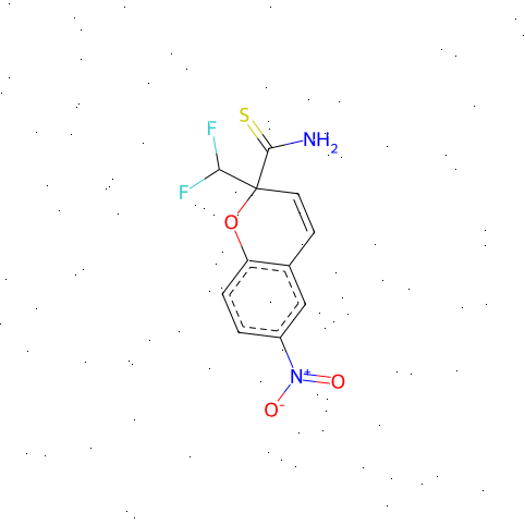 NC(=S)C1(C(F)F)C=Cc2cc([N+](=O)[O-])ccc2O1